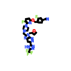 N#Cc1ccc(COc2ccc(F)c(N3CCN(Cc4nc5cc(-c6nnc(C(F)(F)F)[nH]6)nnc5n4CC4CCO4)CC3)n2)c(F)c1